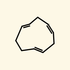 [C]1=C\C/C=C/CC/C=C/C/1